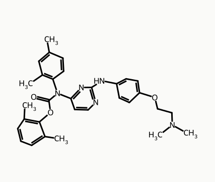 Cc1ccc(N(C(=O)Oc2c(C)cccc2C)c2ccnc(Nc3ccc(OCCN(C)C)cc3)n2)c(C)c1